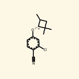 CC1CC(C)(C)[C@@H]1Oc1ccc(C#N)c(Cl)c1